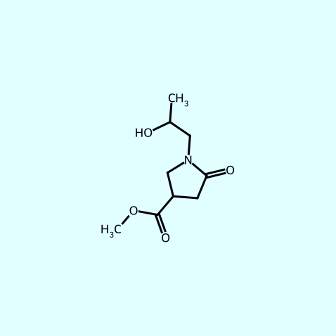 COC(=O)C1CC(=O)N(CC(C)O)C1